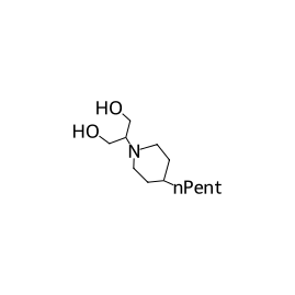 CCCCCC1CCN(C(CO)CO)CC1